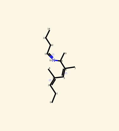 CC/C=C(C)\C=C(\C)C(C)/N=C\CCC